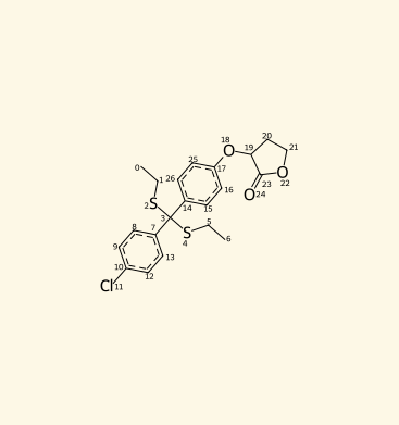 CCSC(SCC)(c1ccc(Cl)cc1)c1ccc(OC2CCOC2=O)cc1